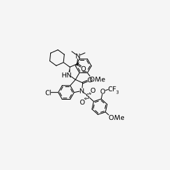 COc1ccc(S(=O)(=O)N2C(=O)C(N[C@H](C(=O)N(C)C)C3CCCCC3)(c3ccccc3OC)c3cc(Cl)ccc32)c(OC(F)(F)F)c1